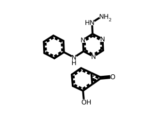 NNc1ncnc(Nc2ccccc2)n1.O=c1c2cccc(O)c12